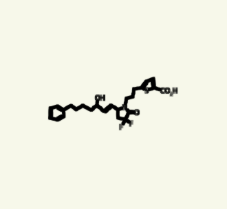 O=C(O)c1ccc(CCCN2C(=O)C(F)(F)CC2C=CC(O)CCCCc2ccccc2)s1